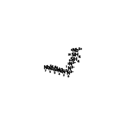 [N-3].[N-3].[N-3].[N-3].[N-3].[Nb+5].[Nb+5].[Nb+5].[SiH4].[SiH4].[SiH4]